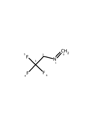 C=NCC(F)(F)F